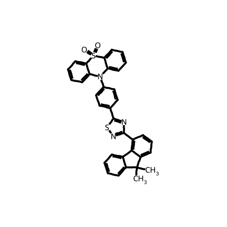 CC1(C)c2ccccc2-c2c(-c3nsc(-c4ccc(N5c6ccccc6S(=O)(=O)c6ccccc65)cc4)n3)cccc21